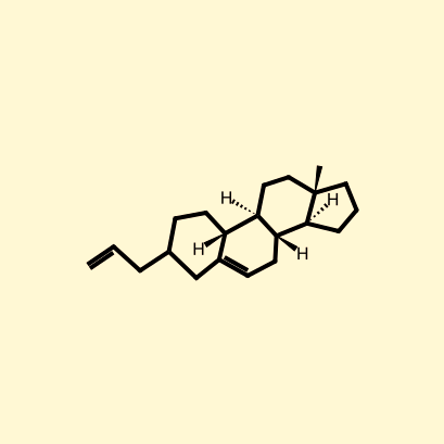 C=CCC1CC[C@H]2C(=CC[C@@H]3[C@@H]2CC[C@]2(C)CCC[C@@H]32)C1